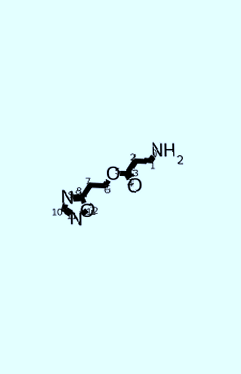 NCCC(=O)OCCc1ncno1